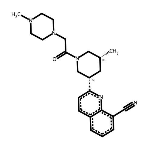 C[C@@H]1C[C@H](c2ccc3cccc(C#N)c3n2)CN(C(=O)CN2CCN(C)CC2)C1